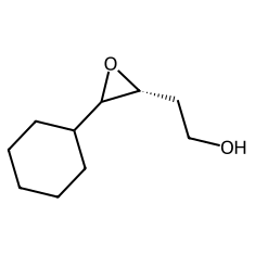 OCC[C@H]1OC1C1CCCCC1